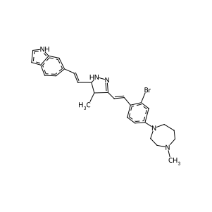 CC1C(/C=C/c2ccc(N3CCCN(C)CC3)cc2Br)=NNC1/C=C/c1ccc2cc[nH]c2c1